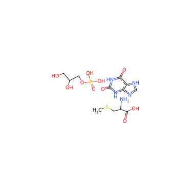 CSCC(N)C(=O)O.O=P(O)(O)OCC(O)CO.O=c1[nH]c(=O)c2[nH]cnc2[nH]1